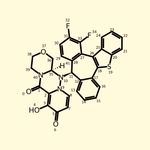 O=C1c2c(O)c(=O)ccn2N([C@@H]2c3ccccc3-c3sc4ccccc4c3-c3c2ccc(F)c3F)[C@@H]2COCCN12